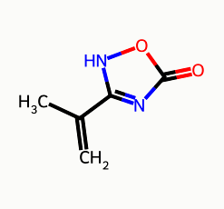 C=C(C)c1nc(=O)o[nH]1